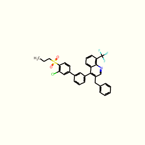 CCCS(=O)(=O)c1ccc(-c2cccc(-c3c(Cc4ccccc4)cnc4c(C(F)(F)F)cccc34)c2)cc1Cl